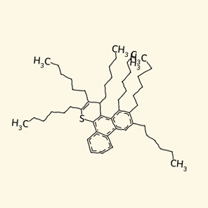 CCCCCCC1=C(CCCCCC)C(CCCCCC)c2c(c3ccccc3c3cc(CCCCCC)c(CCCCCC)c(CCCCCC)c23)S1